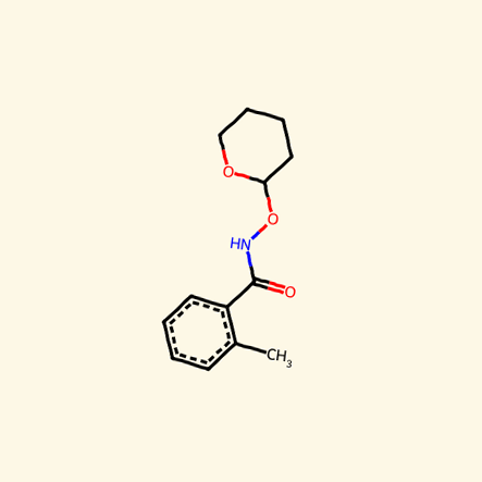 Cc1ccccc1C(=O)NOC1CCCCO1